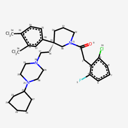 O=C(Cc1c(F)cccc1Cl)N1CCC[C@](CCN2CCN(C3CCCCC3)CC2)(c2ccc(C(Cl)(Cl)Cl)c(C(Cl)(Cl)Cl)c2)C1